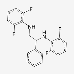 Fc1cccc(F)c1NCC(Nc1c(F)cccc1F)c1ccccc1